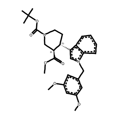 COC(=O)[C@H]1CN(C(=O)OC(C)(C)C)CC[C@@H]1c1cn(Cc2cc(OC)cc(OC)c2)c2ccccc12